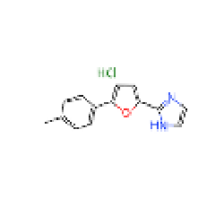 Cc1ccc(-c2ccc(-c3ncc[nH]3)o2)cc1.Cl